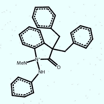 CN[N+]1(Nc2ccccc2)C(=O)C(Cc2ccccc2)(Cc2ccccc2)c2ccccc21